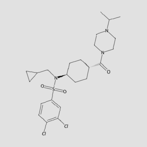 CC(C)N1CCN(C(=O)[C@H]2CC[C@H](N(CC3CC3)S(=O)(=O)c3ccc(Cl)c(Cl)c3)CC2)CC1